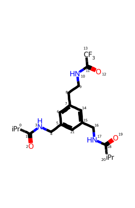 CC(C)C(=O)NCc1cc(CCNC(=O)C(F)(F)F)cc(CNC(=O)C(C)C)c1